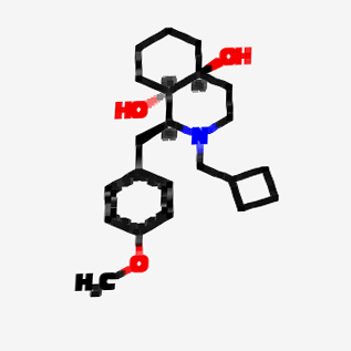 COc1ccc(C[C@@H]2N(CC3CCC3)CC[C@@]3(O)CCCC[C@]23O)cc1